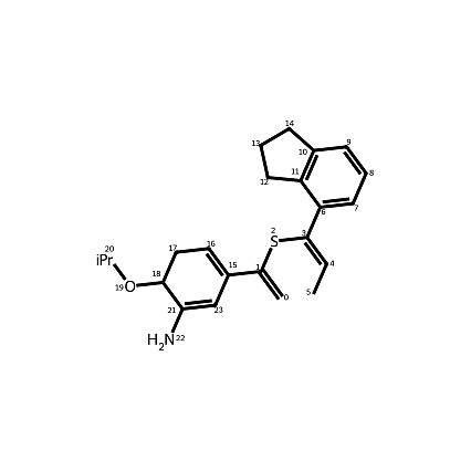 C=C(S/C(=C\C)c1cccc2c1CCC2)C1=CCC(OC(C)C)C(N)=C1